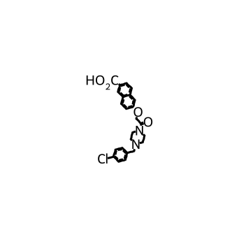 O=C(O)c1ccc2cc(OCC(=O)N3CCN(Cc4ccc(Cl)cc4)CC3)ccc2c1